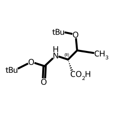 CC(OC(C)(C)C)[C@@H](NC(=O)OC(C)(C)C)C(=O)O